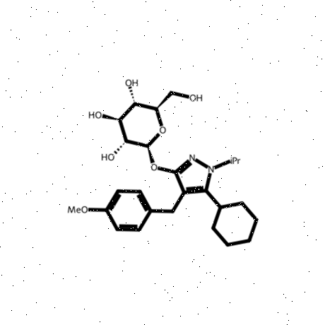 COc1ccc(Cc2c(O[C@@H]3O[C@H](CO)[C@@H](O)[C@H](O)[C@H]3O)nn(C(C)C)c2C2CCCCC2)cc1